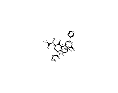 COC(=O)[C@@H]1C[C@@H](N(C)C(C)=O)C(=O)[C@H]2[C@@]1(C)CC[C@H]1C(=O)O[C@@H](c3ccoc3)C[C@]21C